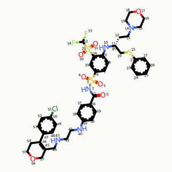 O=C(NS(=O)(=O)c1ccc(N[C@H](CCN2CCOCC2)CSc2ccccc2)c(S(=O)(=O)C(F)F)c1)c1ccc(NCCNCC2=C(c3ccc(Cl)cc3)CCOC2)cc1